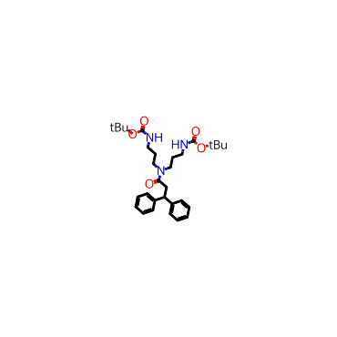 CC(C)(C)OC(=O)NCCCN(CCCNC(=O)OC(C)(C)C)C(=O)CC(c1ccccc1)c1ccccc1